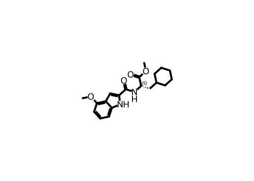 COC(=O)[C@H](CC1CCCCC1)NC(=O)c1cc2c(OC)cccc2[nH]1